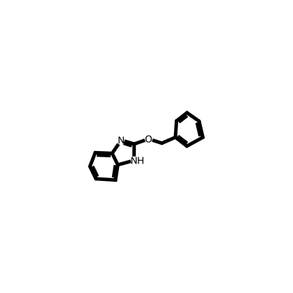 c1ccc(COc2nc3ccccc3[nH]2)cc1